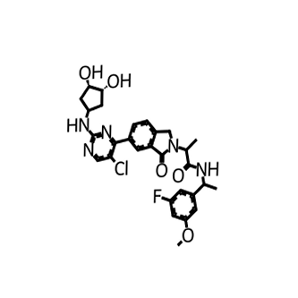 COc1cc(F)cc(C(C)NC(=O)C(C)N2Cc3ccc(-c4nc(NC5C[C@@H](O)[C@H](O)C5)ncc4Cl)cc3C2=O)c1